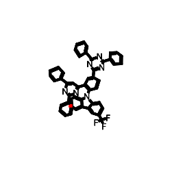 FC(F)(F)c1ccc2c(c1)c1ccccc1n2-c1ccc(-c2nc(-c3ccccc3)nc(-c3ccccc3)n2)cc1-c1cc(-c2ccccc2)nc(-c2ccccc2)n1